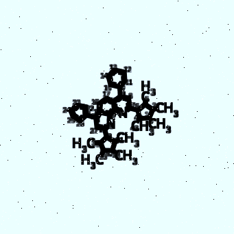 CC1C(C)C(C)C(c2cc(-c3ccccc3)c3ccc4c(-c5ccccc5)cc(C5C(C)C(C)C(C)C5C)nc4c3n2)C1C